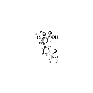 CCN(CC)C(=O)c1cccc(-c2cc3c(c(C(=O)O)c2)OCCO3)c1